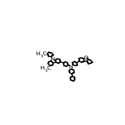 Cc1cccc(-n2c3ccc(C)cc3c3cc(-c4ccc(N(c5ccc(-c6ccccc6)cc5)c5ccc(-c6ccc7oc8ccccc8c7c6)cc5)cc4)ccc32)c1